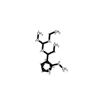 CCOC(OC)OC(CC)c1ccsc1SC